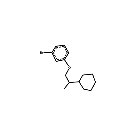 CC(COc1cccc(Br)c1)C1CCCCC1